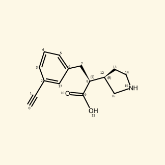 C#Cc1cccc(C[C@H](C(=O)O)[C@H]2CCNC2)c1